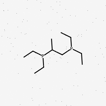 CCP(CC)CC(C)P(CC)CC